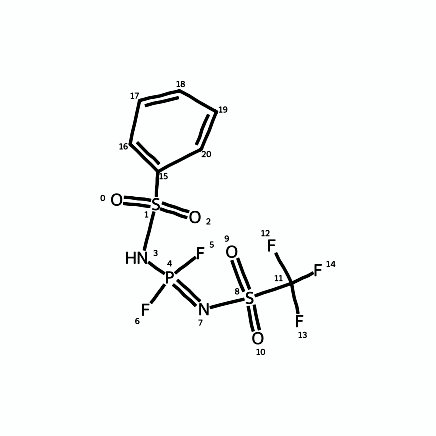 O=S(=O)(NP(F)(F)=NS(=O)(=O)C(F)(F)F)c1ccccc1